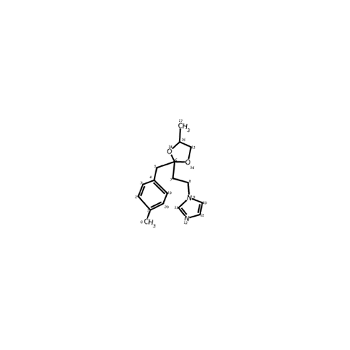 Cc1ccc(CC2(CCn3ccnc3)OCC(C)O2)cc1